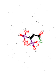 O=C(Cl)C=C(P(=O)(O)O)P(=O)(O)O